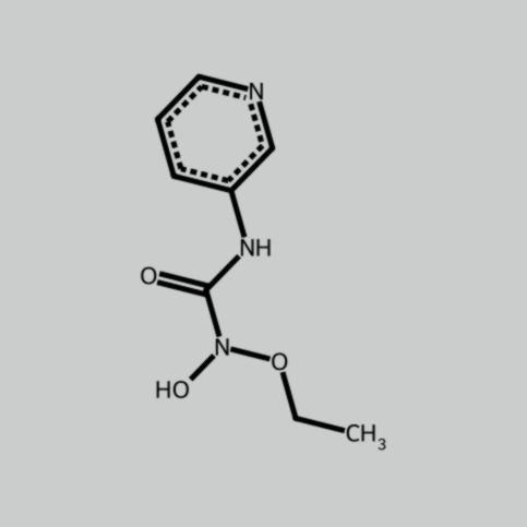 CCON(O)C(=O)Nc1cccnc1